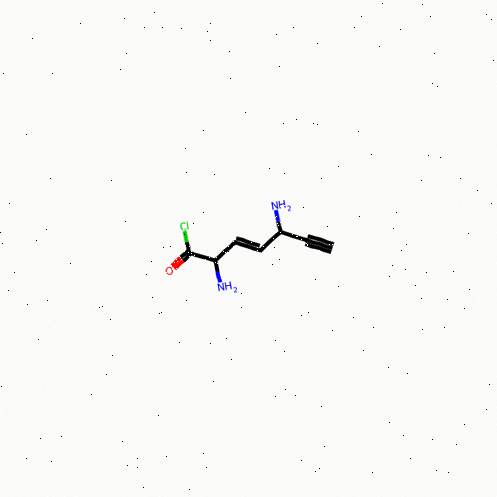 C#CC(N)C=CC(N)C(=O)Cl